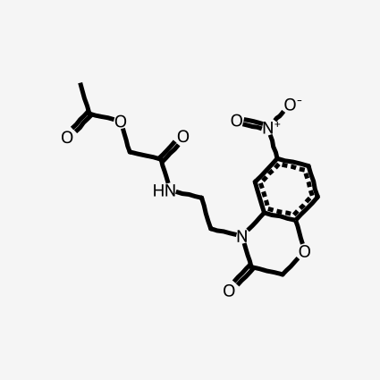 CC(=O)OCC(=O)NCCN1C(=O)COc2ccc([N+](=O)[O-])cc21